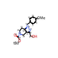 COc1ccc(Cn2nc(CO)c3c2CCN(C(=O)OC(C)(C)C)C3)cc1